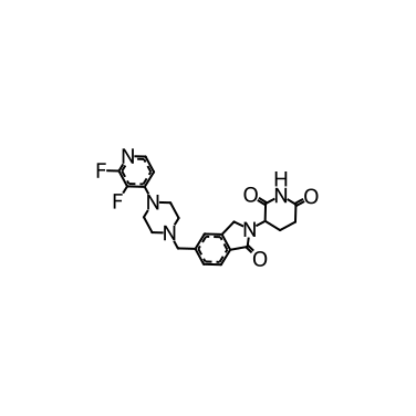 O=C1CCC(N2Cc3cc(CN4CCN(c5ccnc(F)c5F)CC4)ccc3C2=O)C(=O)N1